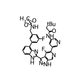 CC(C)(C)CC(=O)Nc1cncc(-c2ncc3[nH]nc(-c4nc5c(-c6cc(F)cc(CNS(C)(=O)=O)c6)cccc5[nH]4)c3c2F)c1